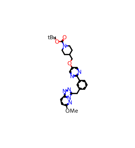 COc1ccc2nnc(Cc3cccc(-c4ncc(OCC5CCN(C(=O)OC(C)(C)C)CC5)cn4)c3)n2n1